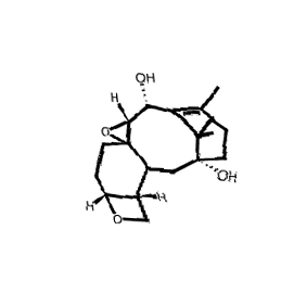 CC1=C2[C@@H](O)[C@H]3O[C@]34CC[C@H]3OC[C@H]3C4C[C@](O)(CC1)C2(C)C